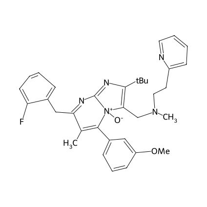 COc1cccc(C2=C(C)C(Cc3ccccc3F)=NC3=NC(C(C)(C)C)=C(CN(C)CCc4ccccn4)[N+]32[O-])c1